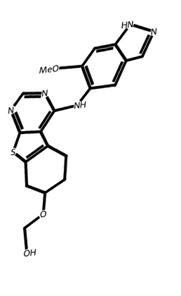 COc1cc2[nH]ncc2cc1Nc1ncnc2sc3c(c12)CCC(OCO)C3